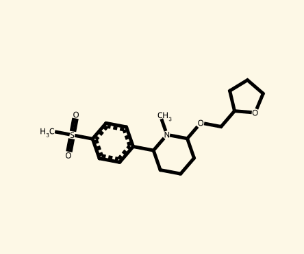 CN1C(OCC2CCCO2)CCCC1c1ccc(S(C)(=O)=O)cc1